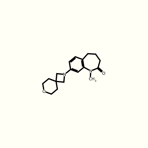 CN1C(=O)CCCc2ccc(N3CC4(CCOCC4)C3)cc21